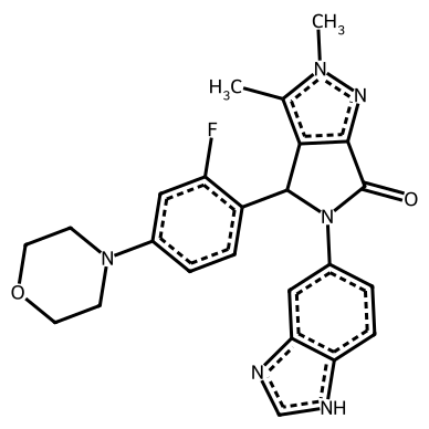 Cc1c2c(nn1C)C(=O)N(c1ccc3[nH]cnc3c1)C2c1ccc(N2CCOCC2)cc1F